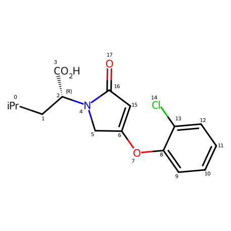 CC(C)C[C@H](C(=O)O)N1CC(Oc2ccccc2Cl)=CC1=O